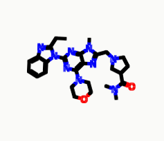 CCc1nc2ccccc2n1-c1nc(N2CCOCC2)c2nc(CN3CCC(C(=O)N(C)C)C3)n(C)c2n1